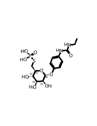 CCNC(=O)Nc1ccc(O[C@H]2O[C@H](CSP(=O)(O)O)[C@@H](O)[C@H](O)[C@@H]2O)cc1